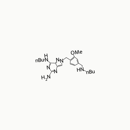 CCCCNCc1ccc(Cn2cc3nc(N)nc(NCCCC)c3n2)c(OC)c1